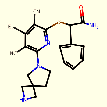 CCc1c(C#N)c(SC(C(N)=O)c2ccccc2)nc(N2CCC3(CNC3)C2)c1C#N